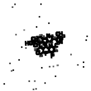 Cc1noc(C)c1-c1cnc2c3ccc(C(C)(C)O)cc3n(C(c3cccc(F)c3F)C3CCOCC3)c2c1